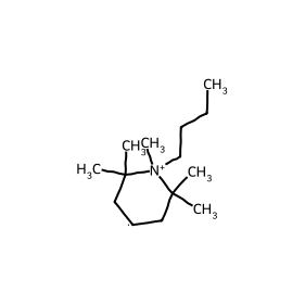 CCCC[N+]1(C)C(C)(C)C[CH]CC1(C)C